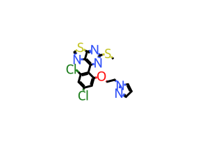 CSc1nc(-c2c(Cl)cc(Cl)cc2OCCn2cccn2)c2ncsc2n1